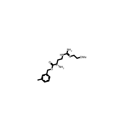 COCCN=C(N)NCC[C@H](N)C(=O)OCc1cccc(C)c1